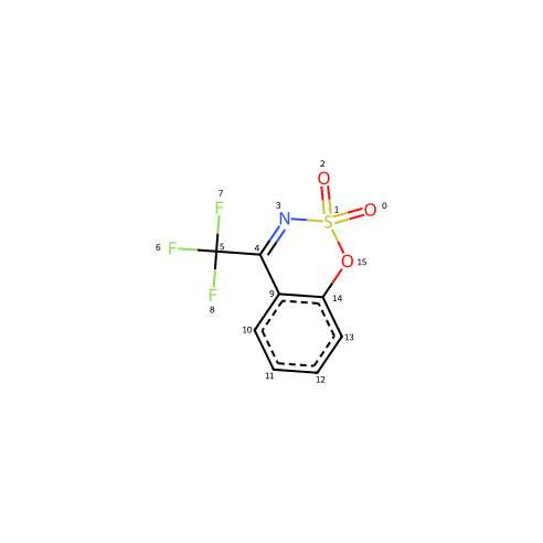 O=S1(=O)N=C(C(F)(F)F)c2ccccc2O1